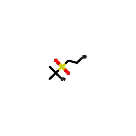 CC(C)CCS(=O)(=O)C(C)(C)C(C)C